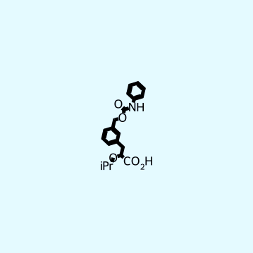 CC(C)OC(Cc1cccc(COC(=O)Nc2ccccc2)c1)C(=O)O